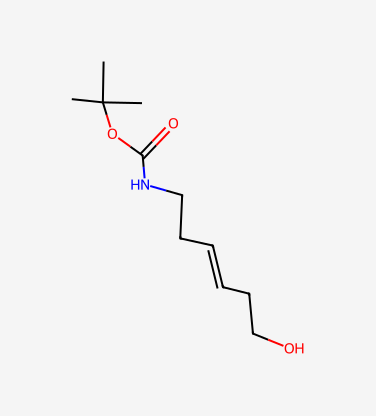 CC(C)(C)OC(=O)NCC/C=C/CCO